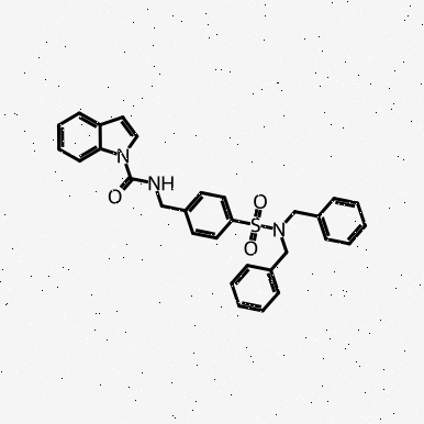 O=C(NCc1ccc(S(=O)(=O)N(Cc2ccccc2)Cc2ccccc2)cc1)n1ccc2ccccc21